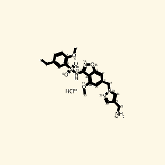 CCc1ccc(OC)c(S(=O)(=O)Nc2noc3cc(Cn4cc(CN)cn4)cc(OC)c23)c1.Cl